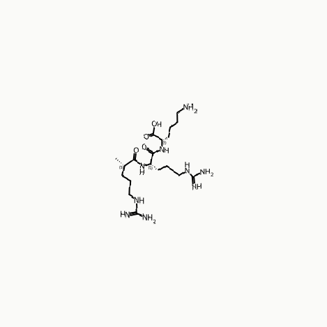 C[C@@H](CCCNC(=N)N)C(=O)N[C@@H](CCCNC(=N)N)C(=O)N[C@@H](CCCCN)C(=O)O